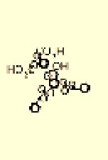 O=C(O)Oc1ccc([C@H]2Oc3cc(OC(=O)OCc4ccccc4)cc(OC(=O)OCc4ccccc4)c3C[C@H]2O)cc1OC(=O)O